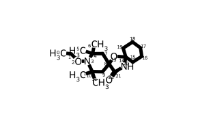 CCON1C(C)(C)CC2(CC1(C)C)OC1(CCCCC1)NC2=O